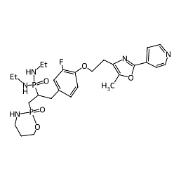 CCNP(=O)(NCC)C(Cc1ccc(OCCc2nc(-c3ccncc3)oc2C)c(F)c1)CP1(=O)NCCCO1